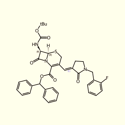 CC(C)(C)OC(=O)N[C@@H]1C(=O)N2C(C(=O)OC(c3ccccc3)c3ccccc3)=C(/C=C3\CCN(Cc4ccccc4F)C3=O)CS[C@H]12